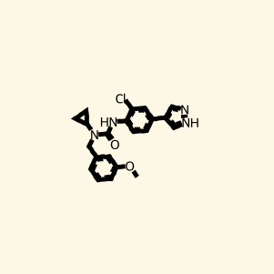 COc1cccc(CN(C(=O)Nc2ccc(-c3cn[nH]c3)cc2Cl)C2CC2)c1